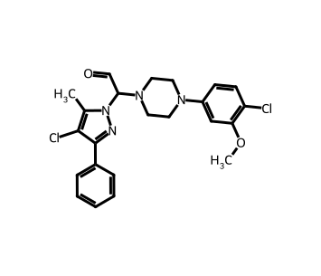 COc1cc(N2CCN(C(C=O)n3nc(-c4ccccc4)c(Cl)c3C)CC2)ccc1Cl